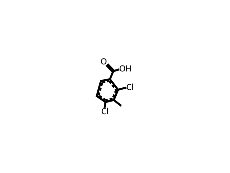 Cc1c(Cl)ccc(C(=O)O)c1Cl